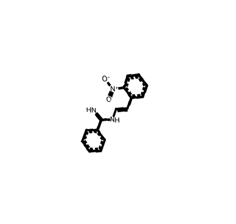 N=C(N/C=C/c1ccccc1[N+](=O)[O-])c1ccccc1